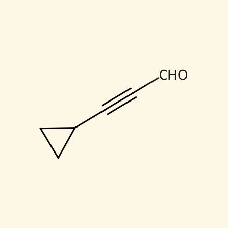 O=CC#CC1CC1